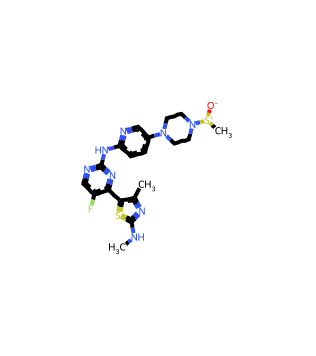 CNc1nc(C)c(-c2nc(Nc3ccc(N4CCN([S+](C)[O-])CC4)cn3)ncc2F)s1